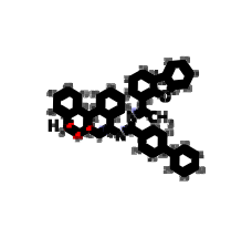 CCC/C=C(/N=C(\N=C(/C)c1cccc2c1oc1ccccc12)c1ccc(-c2ccccc2)cc1)c1ccccc1-c1cccc2ccccc12